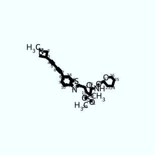 CN1CC(C#CC#Cc2ccc3nc(CCC(C)(C(=O)NOC4CCCCO4)S(C)(=O)=O)sc3c2)C1